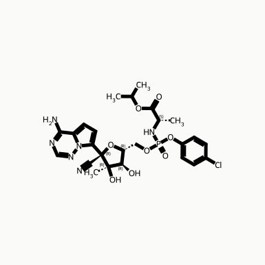 CC(C)OC(=O)[C@H](C)NP(=O)(OC[C@H]1O[C@@](C#N)(c2ccc3c(N)ncnn23)[C@](C)(O)[C@@H]1O)Oc1ccc(Cl)cc1